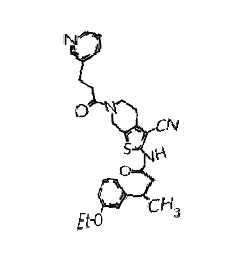 CCOc1cccc(C(C)CC(=O)Nc2sc3c(c2C#N)CCN(C(=O)CCc2cccnc2)C3)c1